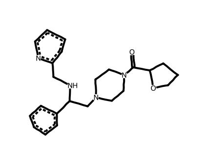 O=C(C1CCCO1)N1CCN(CC(NCc2ccccn2)c2ccccc2)CC1